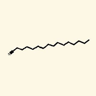 CCCCCCCCCCCCCCCC#N